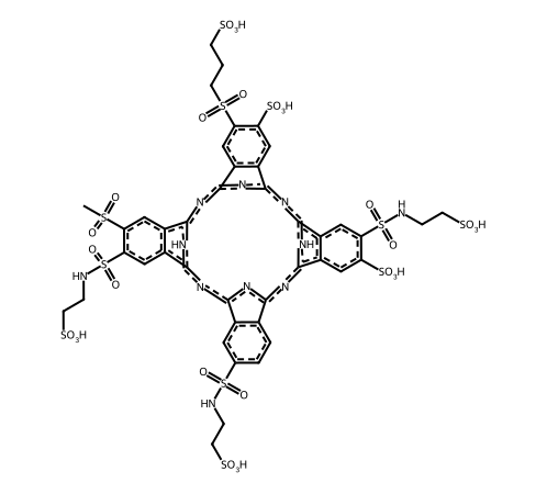 CS(=O)(=O)c1cc2c3nc4nc(nc5[nH]c(nc6nc(nc([nH]3)c2cc1S(=O)(=O)NCCS(=O)(=O)O)-c1cc(S(=O)(=O)NCCS(=O)(=O)O)ccc1-6)c1cc(S(=O)(=O)O)c(S(=O)(=O)NCCS(=O)(=O)O)cc51)-c1cc(S(=O)(=O)O)c(S(=O)(=O)CCCS(=O)(=O)O)cc1-4